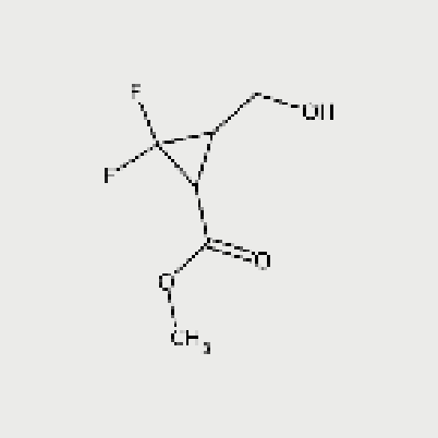 COC(=O)C1C(CO)C1(F)F